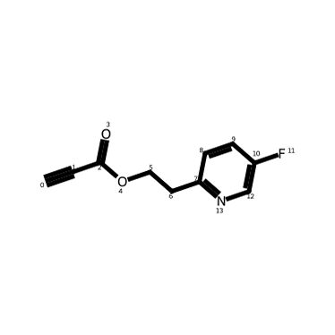 C#CC(=O)OCCc1ccc(F)cn1